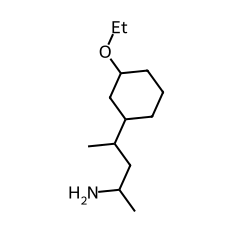 CCOC1CCCC(C(C)CC(C)N)C1